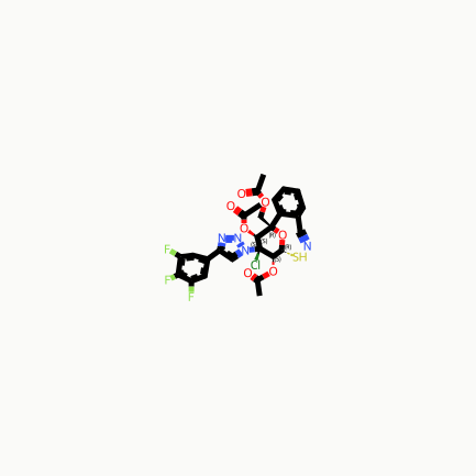 CC(=O)OC[C@@]1(c2ccccc2C#N)O[C@H](S)[C@H](OC(C)=O)[C@](Cl)(n2cc(-c3cc(F)c(F)c(F)c3)nn2)[C@H]1OC(C)=O